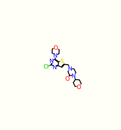 O=C1CN(Cc2cc3nc(Cl)nc(N4CCOCC4)c3s2)CCN1C1CCOCC1